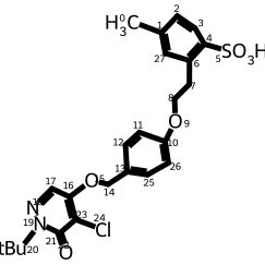 Cc1ccc(S(=O)(=O)O)c(CCOc2ccc(COc3cnn(C(C)(C)C)c(=O)c3Cl)cc2)c1